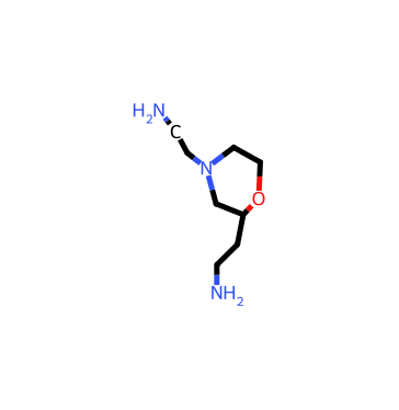 NCCC1CN(CCN)CCO1